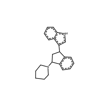 c1ccc2c(c1)C(c1c[nH]c3ccccc13)CC2N1CCCCC1